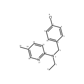 CCN(Cc1ccc(Cl)cc1)c1ccc(C)cn1